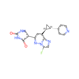 O=c1[nH]cc(-c2cc([C@H]3C[C@@H]3c3ccncc3)c3ncc(F)n3n2)c(=O)[nH]1